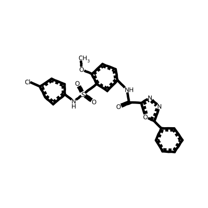 COc1ccc(NC(=O)c2nnc(-c3ccccc3)o2)cc1S(=O)(=O)Nc1ccc(Cl)cc1